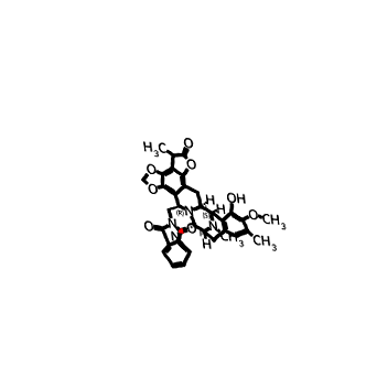 COc1c(C)cc2c(c1O)[C@H]1[C@@H]3Cc4c5c(c6c(c4[C@H](CN4C(=O)c7ccccc7C4=O)N3[C@@H](C#N)[C@@H](C2)N1C)OCO6)C(C)C(=O)O5